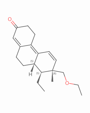 CCOC[C@@]1(C)C=CC2=C3CCC(=O)C=C3CC[C@H]2[C@@H]1CC